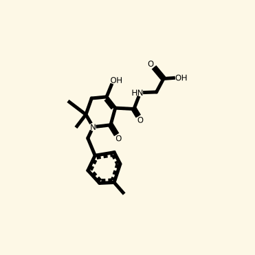 Cc1ccc(CN2C(=O)C(C(=O)NCC(=O)O)=C(O)CC2(C)C)cc1